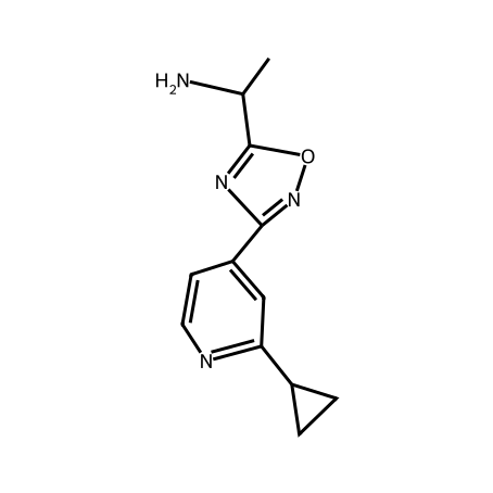 CC(N)c1nc(-c2ccnc(C3CC3)c2)no1